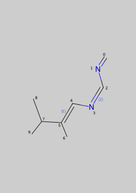 C=N/C=N\C=C(/C)C(C)C